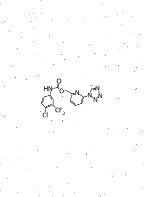 O=C(Nc1ccc(Cl)c(C(F)(F)F)c1)OCc1cccc(-n2cnnn2)n1